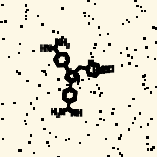 Cl.Cl.Cl.N=C(N)c1ccc(-c2cn(-c3ccc(C(=N)N)cc3)c(Cc3ccccn3)n2)cc1